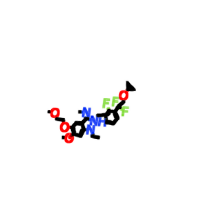 C/C=N/c1cc(OC)c(OCCOC)cc1/C(=N\C)NCc1cccc(C(F)(F)COC2CC2)c1F